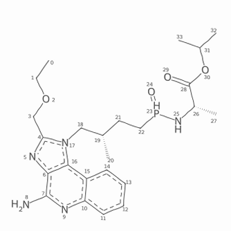 CCOCc1nc2c(N)nc3ccccc3c2n1C[C@@H](C)CC[PH](=O)N[C@@H](C)C(=O)OC(C)C